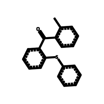 Cc1ccccc1C(=O)c1ccccc1Sc1ccccc1